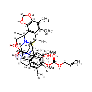 C=CCOC(=O)Oc1cc2c(cc1OC)[C@@]1(CS[C@@H]3c4c(OC(C)=O)c(C)c5c(c4[C@H](COC1=O)N1C3[C@H]3c4c(cc(C)c(OC)c4O)C[C@@H]([C@@H]1O)N3C)OCO5)NCC2